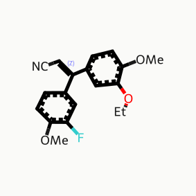 CCOc1cc(/C(=C/C#N)c2ccc(OC)c(F)c2)ccc1OC